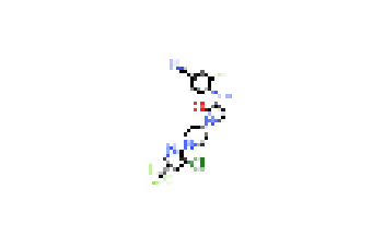 N#Cc1ccc(NC2CCN(C3CCN(c4ncc(C(F)(F)F)cc4Cl)CC3)C2=O)c(F)c1